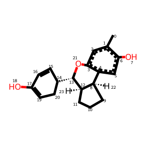 Cc1cc2c(cc1O)[C@H]1CCC[C@H]1[C@H](C1C=CC(O)=CC1)O2